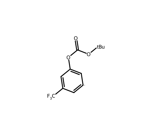 CC(C)(C)OC(=O)Oc1c[c]cc(C(F)(F)F)c1